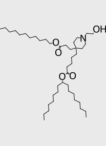 CCCCCCCCCCCOC(=O)CCC1(CCCCC(=O)OC(CCCCCCCC)CCCCCCCC)CCN(CCO)CC1